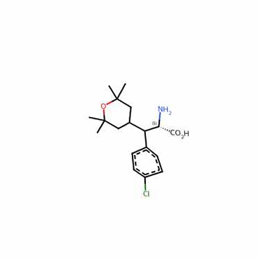 CC1(C)CC(C(c2ccc(Cl)cc2)[C@H](N)C(=O)O)CC(C)(C)O1